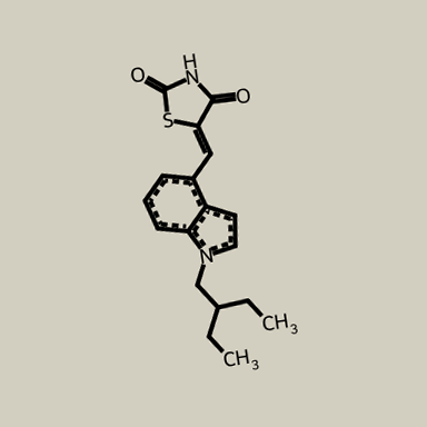 CCC(CC)Cn1ccc2c(/C=C3\SC(=O)NC3=O)cccc21